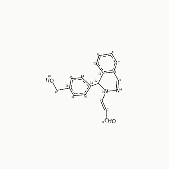 O=C/C=C/N1N=Cc2ccccc2C1c1ccc(CO)cc1